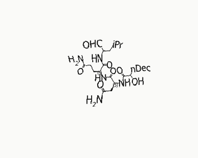 CCCCCCCCCCC(O)C(=O)N[C@@H](CC(N)=O)C(=O)N[C@@H](CCC(N)=O)C(=O)NC(C=O)CC(C)C